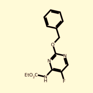 CCOC(=O)Nc1nc(OCc2ccccc2)ncc1F